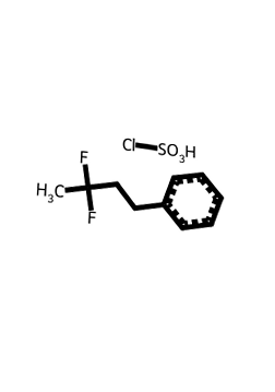 CC(F)(F)CCc1ccccc1.O=S(=O)(O)Cl